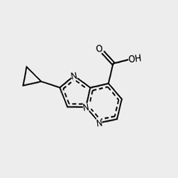 O=C(O)c1ccnn2cc(C3CC3)nc12